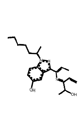 C=C/C(=N\C(=C/C)c1nn(C(C)CCCCC)c2ccc(O)cc12)C(C)O